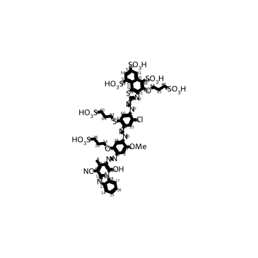 COc1cc(N=Nc2c(C)c(C#N)c3nc4ccccc4n3c2O)c(OCCCS(=O)(=O)O)cc1N=Nc1cc(Cl)c(N=Nc2nc3c(OCCCS(=O)(=O)O)c(S(=O)(=O)O)c4cc(S(=O)(=O)O)cc(S(=O)(=O)O)c4c3s2)cc1SCCCS(=O)(=O)O